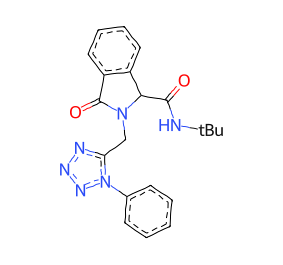 CC(C)(C)NC(=O)C1c2ccccc2C(=O)N1Cc1nnnn1-c1ccccc1